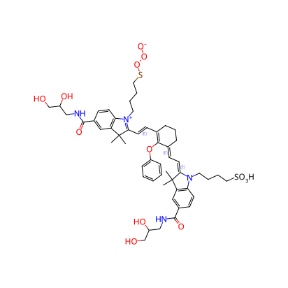 CC1(C)C(/C=C/C2=C(Oc3ccccc3)C(=C/C=C3/N(CCCCS(=O)(=O)O)c4ccc(C(=O)NCC(O)CO)cc4C3(C)C)/CCC2)=[N+](CCCCSOO[O-])c2ccc(C(=O)NCC(O)CO)cc21